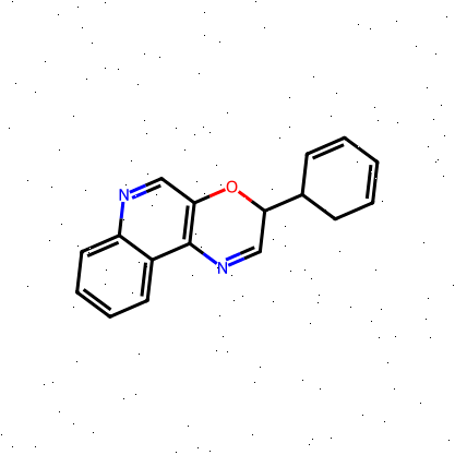 C1=CCC(C2C=Nc3c(cnc4ccccc34)O2)C=C1